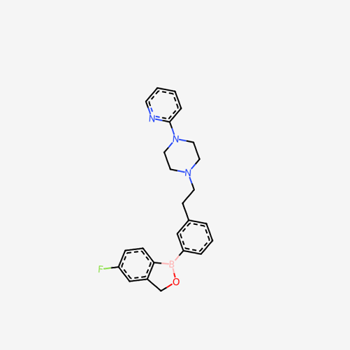 Fc1ccc2c(c1)COB2c1cccc(CCN2CCN(c3ccccn3)CC2)c1